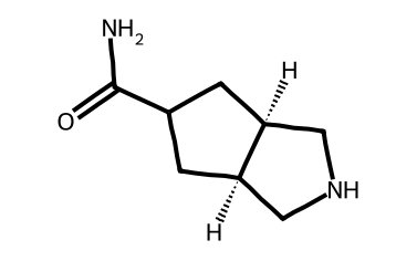 NC(=O)C1C[C@H]2CNC[C@H]2C1